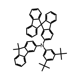 CC(C)(C)c1cc(N(c2ccc3c(c2)-c2ccccc2C3(C)C)c2ccc3c(c2)C2(c4ccccc4-c4ccccc42)c2ccccc2-3)cc(C(C)(C)C)c1